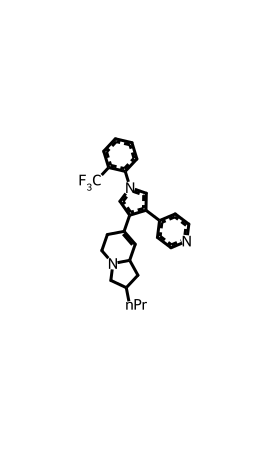 CCCC1CC2C=C(c3cn(-c4ccccc4C(F)(F)F)cc3-c3ccncc3)CCN2C1